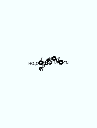 C[C@]1(c2ccc(C#N)cc2F)Oc2cccc(N3CCN(Cc4nc5c(F)cc(C(=O)O)cc5n4C[C@@H]4CCO4)[C@@H]4CC[C@@H]43)c2O1